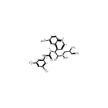 C=CC(C)CN(CCC)C(CC)[C@@H](OC(=S)Nc1cc(C(F)(F)F)cc(C(F)(F)F)c1)c1ccnc2ccc(OC)cc12